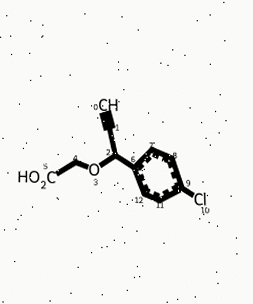 C#CC(OCC(=O)O)c1ccc(Cl)cc1